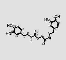 Oc1ccc(CCNC(=S)SSC(=S)NCCc2ccc(O)c(O)c2)cc1O